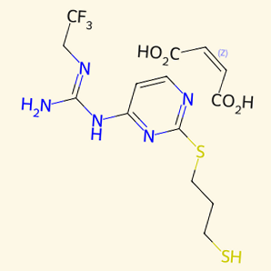 NC(=NCC(F)(F)F)Nc1ccnc(SCCCS)n1.O=C(O)/C=C\C(=O)O